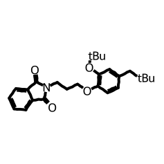 CC(C)(C)Cc1ccc(OCCCN2C(=O)c3ccccc3C2=O)c(OC(C)(C)C)c1